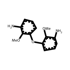 COc1c(N)cccc1Oc1cccc(N)c1OC